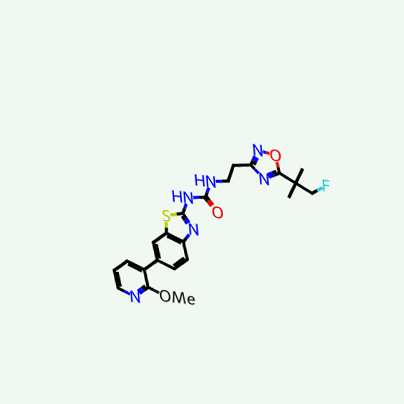 COc1ncccc1-c1ccc2nc(NC(=O)NCCc3noc(C(C)(C)CF)n3)sc2c1